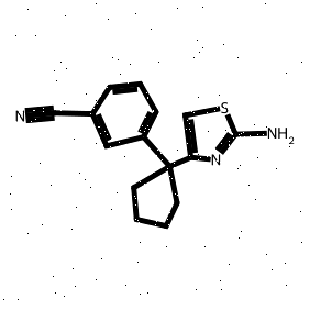 N#Cc1cccc(C2(c3csc(N)n3)CCCC2)c1